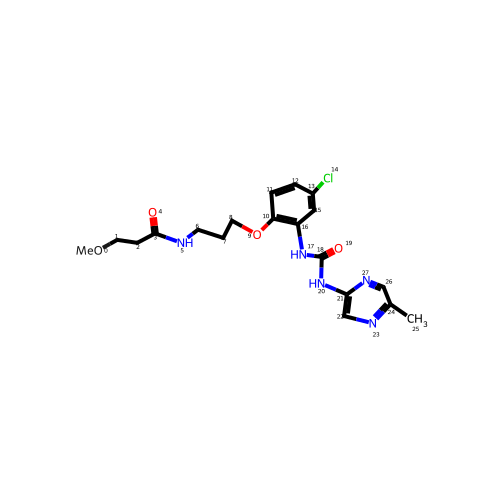 COCCC(=O)NCCCOc1ccc(Cl)cc1NC(=O)Nc1cnc(C)cn1